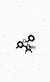 Cc1ccc(OCc2ccccc2)c(-c2n[nH]c(C)c2I)c1